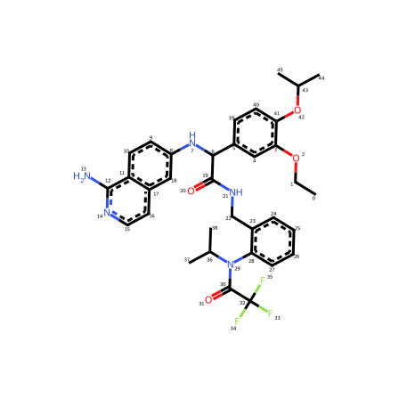 CCOc1cc(C(Nc2ccc3c(N)nccc3c2)C(=O)NCc2ccccc2N(C(=O)C(F)(F)F)C(C)C)ccc1OC(C)C